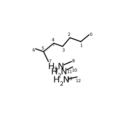 CCCC[CH]C(C)C.CN.CN.CN